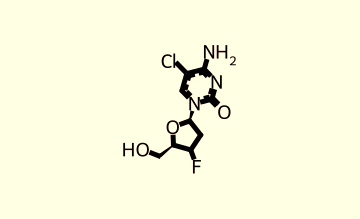 Nc1nc(=O)n([C@H]2CC(F)[C@@H](CO)O2)cc1Cl